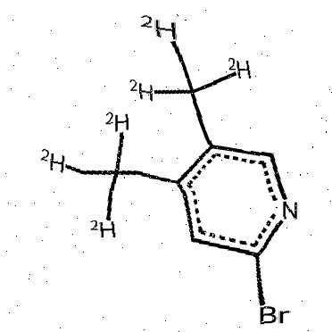 [2H]C([2H])([2H])c1cnc(Br)cc1C([2H])([2H])[2H]